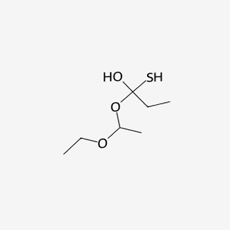 CCOC(C)OC(O)(S)CC